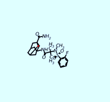 CN(C(C)(C)C(=O)NC12CC3CC(C1)CC(C(N)=O)(C3)C2)S(=O)(=O)c1ccccc1F